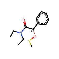 CCN(CC)C(=O)[C@@H](OSC)c1ccccc1